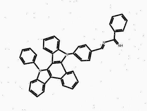 N=C(/N=C/c1ccc(-n2c3ccccc3c3c2c2ccccc2c2c4ccccc4n(-c4ccccc4)c23)cc1)c1ccccc1